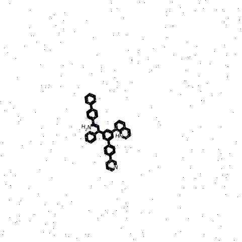 N/C(=C\C(c1ccccc1)c1cc(-c2ccc(-c3cccnc3)cc2)cc(-c2cccc3c2NCC=C3)c1)c1ccc(-c2ccccc2)cc1